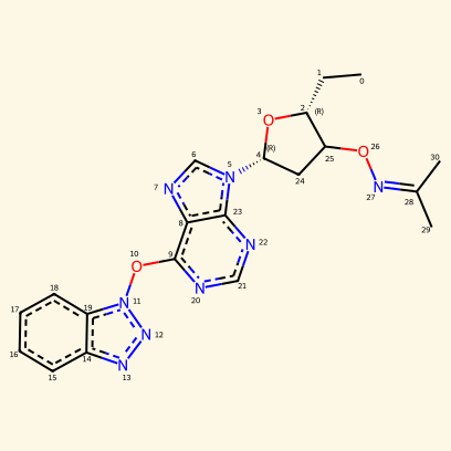 CC[C@H]1O[C@@H](n2cnc3c(On4nnc5ccccc54)ncnc32)CC1ON=C(C)C